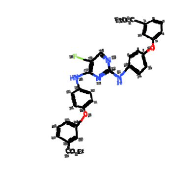 CCOC(=O)c1cccc(Oc2ccc(Nc3ncc(F)c(Nc4ccc(Oc5cccc(C(=O)OCC)c5)cc4)n3)cc2)c1